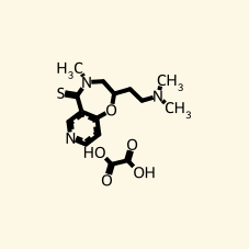 CN(C)CCC1CN(C)C(=S)c2cnccc2O1.O=C(O)C(=O)O